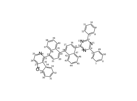 c1ccc(-c2nc(-c3ccccc3)nc(-c3ccc(-c4ccc(-c5nccc6oc7ccccc7c56)c5ccccc45)c4ccccc34)n2)cc1